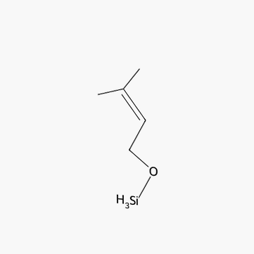 CC(C)=CCO[SiH3]